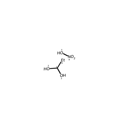 CCC(O)O.O=[N+]([O-])O